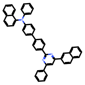 c1ccc(-c2cc(-c3ccc4ccccc4c3)nc(-c3ccc(-c4ccc(N(c5ccccc5)c5cccc6ccccc56)cc4)cc3)n2)cc1